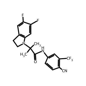 CC(C)(C(=O)Nc1ccc(C#N)c(C(F)(F)F)c1)N1CCc2cc(F)c(F)cc21